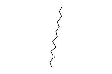 [CH2]COCCCCCOCCCC